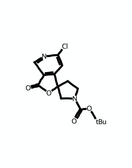 CC(C)(C)OC(=O)N1CCC2(C1)OC(=O)c1cnc(Cl)cc12